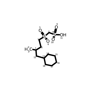 CC(CCS(=O)(=O)CS(=O)(=O)O)CC1CCCCC1